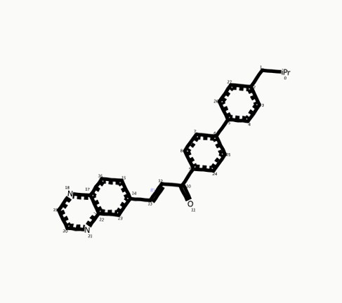 CC(C)Cc1ccc(-c2ccc(C(=O)/C=C/c3ccc4nccnc4c3)cc2)cc1